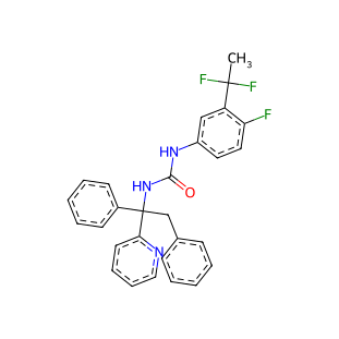 CC(F)(F)c1cc(NC(=O)NC(Cc2ccccc2)(c2ccccc2)c2ccccn2)ccc1F